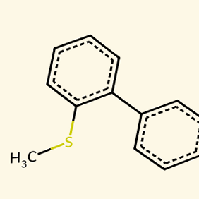 CSc1ccccc1-c1cc[c]cc1